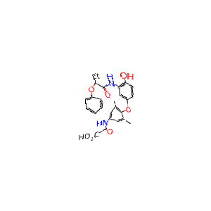 CCC(Oc1ccccc1)C(=O)Nc1cc(Oc2c(C)cc(NC(=O)C(=O)O)cc2C)ccc1O